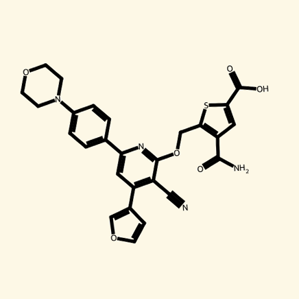 N#Cc1c(-c2ccoc2)cc(-c2ccc(N3CCOCC3)cc2)nc1OCc1sc(C(=O)O)cc1C(N)=O